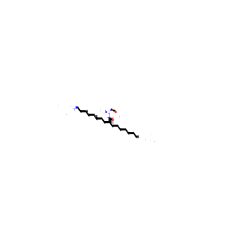 CCCCCCCCCCCCCCCCCN.CN1CCOCC1